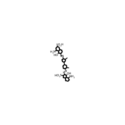 Cc1cc(-c2ccc(N=Nc3c(S(=O)(=O)O)cc4cccc(N)c4c3O)c(C)c2)ccc1N=Nc1ccc2cc(S(=O)(=O)O)cc(N)c2c1O